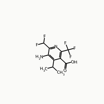 CC(C)c1c(N)c(C(F)F)nc(C(F)(F)F)c1C(=O)O